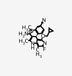 COc1cc(C#N)ccc1[C@@H]1C(C(N)=O)=C(C)Nc2c(C)c(F)nc(OCC3CC3)c21